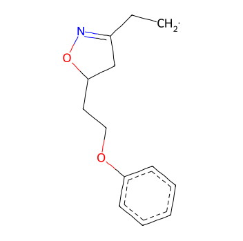 [CH2]CC1=NOC(CCOc2ccccc2)C1